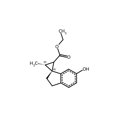 CCOC(=O)C1[C@@H](C)[C@]12CCc1ccc(O)cc12